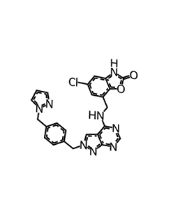 O=c1[nH]c2cc(Cl)cc(CNc3ncnc4nn(Cc5ccc(Cn6cccn6)cc5)cc34)c2o1